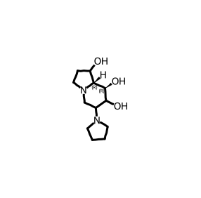 OC1CCN2CC(N3CCCC3)C(O)[C@H](O)[C@@H]12